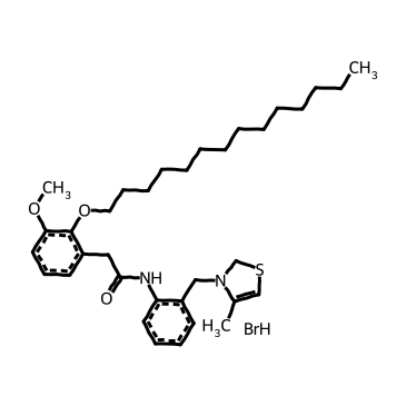 Br.CCCCCCCCCCCCCCOc1c(CC(=O)Nc2ccccc2CN2CSC=C2C)cccc1OC